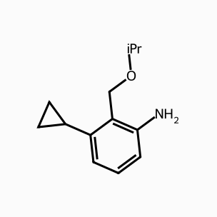 CC(C)OCc1c(N)cccc1C1CC1